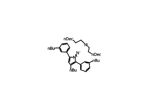 CCCCC1=C(c2cccc(CCCC)c2)[N+](=[N-])C(c2cccc(CCCC)c2)=C1.CCCCCCCCCCC[CH2][Ni][CH2]CCCCCCCCCCC